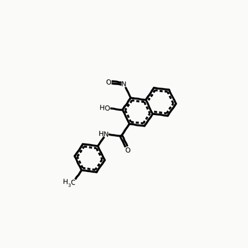 Cc1ccc(NC(=O)c2cc3ccccc3c(N=O)c2O)cc1